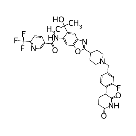 CC(C)(O)c1cc2nc(C3CCN(Cc4ccc(C5CCC(=O)NC5=O)c(F)c4)CC3)oc2cc1NC(=O)c1ccc(C(F)(F)F)nc1